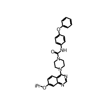 CC(C)Oc1ccc2c(N3CCN(C(=O)Nc4ccc(Oc5ccccc5)cc4)CC3)ncnc2c1